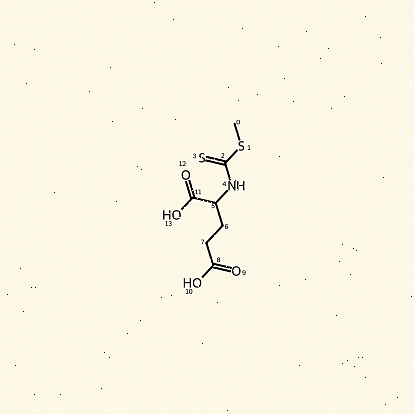 CSC(=S)NC(CCC(=O)O)C(=O)O